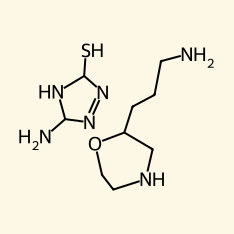 NC1N=NC(S)N1.NCCCC1CNCCO1